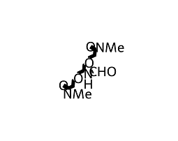 CNC(=O)CCOCC(COCCC(=O)NC)NC=O